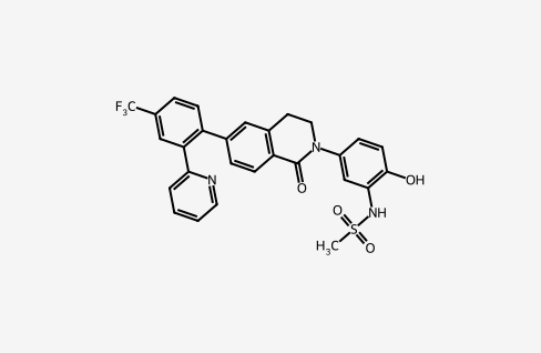 CS(=O)(=O)Nc1cc(N2CCc3cc(-c4ccc(C(F)(F)F)cc4-c4ccccn4)ccc3C2=O)ccc1O